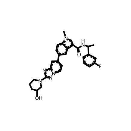 CC(NC(=O)c1cn(C)c2ccc(-c3ccn4nc(N5CCCC(O)C5)nc4c3)cc12)c1cccc(F)c1